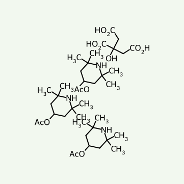 CC(=O)OC1CC(C)(C)NC(C)(C)C1.CC(=O)OC1CC(C)(C)NC(C)(C)C1.CC(=O)OC1CC(C)(C)NC(C)(C)C1.O=C(O)CC(O)(CC(=O)O)C(=O)O